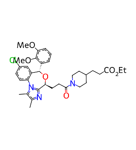 CCOC(=O)CCC1CCN(C(=O)CC[C@@H]2O[C@@H](c3cccc(OC)c3OC)c3cc(Cl)ccc3-n3c2nc(C)c3C)CC1